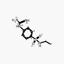 CCNS(=O)(=O)c1ccc(NC(=N)N)cc1